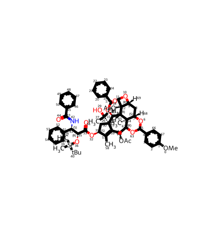 COc1ccc(C2O[C@H]3C[C@H]4OC[C@@]4(OC(C)=O)[C@H]4[C@H](OC(=O)c5ccccc5)[C@]5(C(C)(C)O)C[C@H](OC(=O)[C@H](O[Si](C)(C)C(C)(C)C)[C@@H](NC(=O)c6ccccc6)c6ccccc6)C(C)=C5[C@H](OC(C)=O)[C@H](O2)[C@]34C)cc1